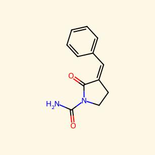 NC(=O)N1CCC(=Cc2ccccc2)C1=O